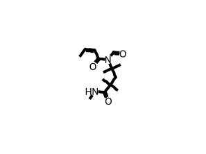 C/C=C\C(=O)N(C=O)C(C)(C)CC(C)(C)C(=O)NC